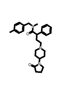 Cc1ccc(CN(C)C(=O)C(CCN2CCC(N3CCCC3=O)CC2)c2ccccc2)cc1